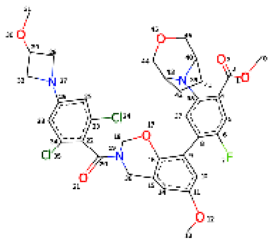 COC(=O)c1cc(F)c(-c2cc(OC)cc3c2OCN(C(=O)c2c(Cl)cc(N4CC(OC)C4)cc2Cl)C3)cc1N1C2CCC1COC2